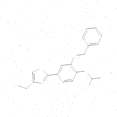 FC(F)Oc1ccc(-c2nc(CCl)co2)cc1OCc1ccccc1